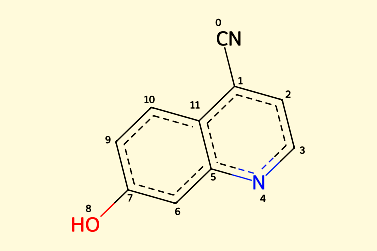 N#Cc1ccnc2cc(O)ccc12